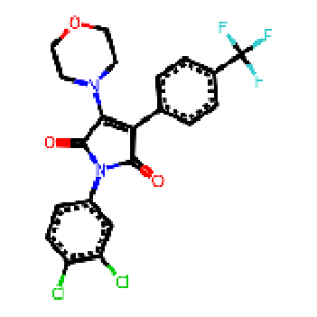 O=C1C(c2ccc(C(F)(F)F)cc2)=C(N2CCOCC2)C(=O)N1c1ccc(Cl)c(Cl)c1